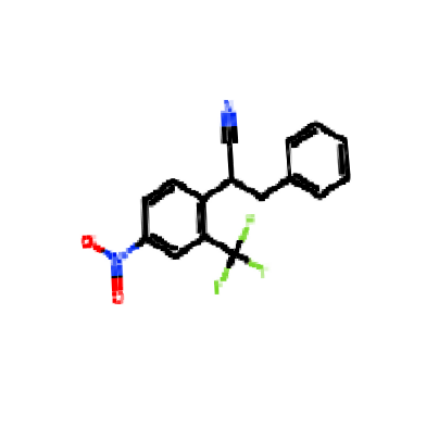 N#CC(Cc1ccccc1)c1ccc([N+](=O)[O-])cc1C(F)(F)F